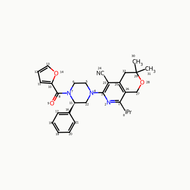 CC(C)c1nc(N2CCN(C(=O)c3ccco3)[C@H](c3ccccc3)C2)c(C#N)c2c1COC(C)(C)C2